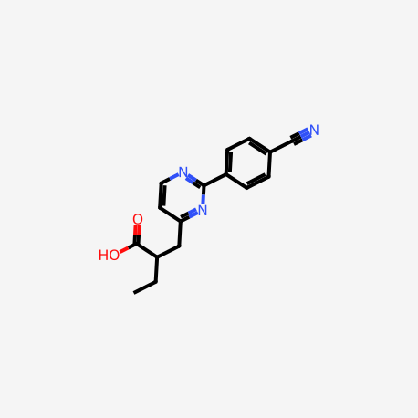 CCC(Cc1ccnc(-c2ccc(C#N)cc2)n1)C(=O)O